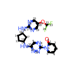 O=c1ccccn1-c1ncc(N[C@H]2CC[C@H](Nc3ncc(OC(F)F)cn3)C2)nn1